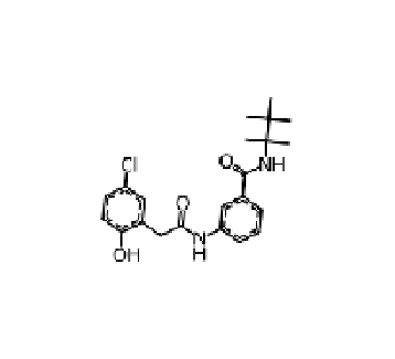 CC(C)(C)C(C)(C)NC(=O)c1cccc(NC(=O)Cc2cc(Cl)ccc2O)c1